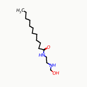 CCCCCCCCCCCC(=O)NCCNCO